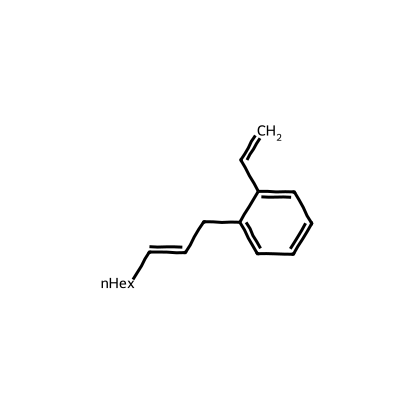 C=Cc1ccccc1CC=CCCCCCC